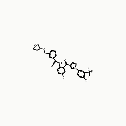 O=C(Nc1ccc(Cl)cc1C(=O)c1cnn(-c2ccc(Cl)c(C(F)(F)F)c2)c1)c1cccc(COC2CCOC2)c1